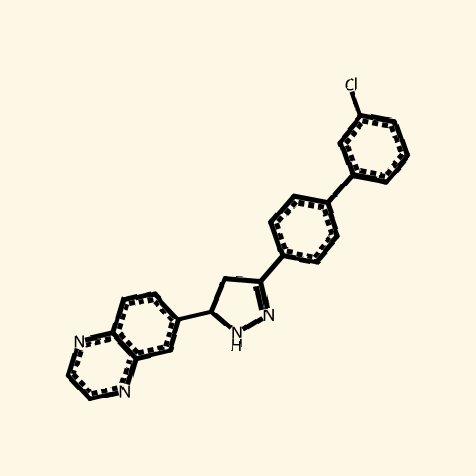 Clc1cccc(-c2ccc(C3=NNC(c4ccc5nccnc5c4)C3)cc2)c1